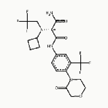 NC(=O)[C@H](C(=O)Nc1ccc(N2CCOCC2=O)c(C(F)(F)F)c1)N(CC(F)(F)F)C1CCC1